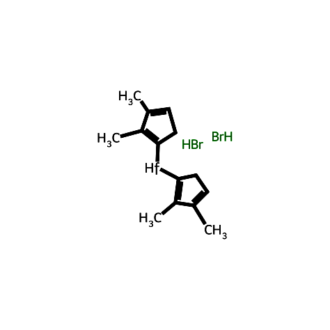 Br.Br.CC1=CC[C]([Hf][C]2=C(C)C(C)=CC2)=C1C